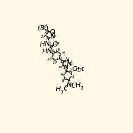 CCOc1cc(N(C)C)ccc1-n1cc(-c2ccc(NC(=O)Nc3cc(C(C)(C)C)on3)cc2)nn1